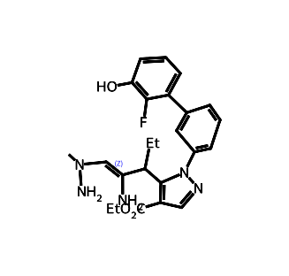 CCOC(=O)c1cnn(-c2cccc(-c3cccc(O)c3F)c2)c1C(CC)/C(N)=C/N(C)N